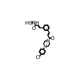 O=C(C=Cc1cccc(C=CC(=O)N2CCN(c3ccc(Cl)cc3)CC2)c1)NO